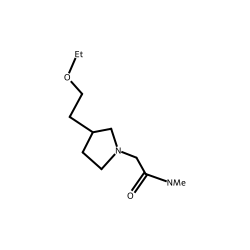 CCOCCC1CCN(CC(=O)NC)C1